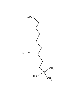 CCCCCCCCCCCCCCCC[N+](C)(C)C.[Br-].[C]